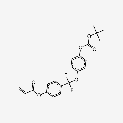 C=CC(=O)Oc1ccc(C(F)(F)Oc2ccc(OC(=O)OC(C)(C)C)cc2)cc1